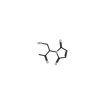 CC(=O)C(CO)N1C(=O)C=CC1=O